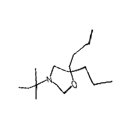 CCCC1(CCC)CN(C(C)(C)C)CO1